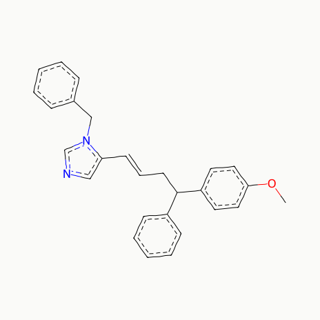 COc1ccc(C(CC=Cc2cncn2Cc2ccccc2)c2ccccc2)cc1